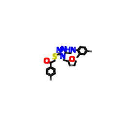 Cc1ccc(C(=O)CSc2nnc(CNc3ccc(C)cc3C)n2CC2CCCO2)cc1